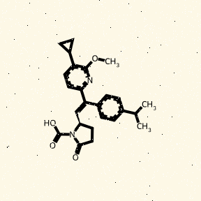 COc1nc(C(=C[C@H]2CCC(=O)N2C(=O)O)c2ccc(C(C)C)cc2)ccc1C1CC1